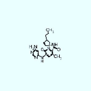 CCCC1C=CC2(C1)NC(=O)c1c(C)cc(Nc3cc(N)ncn3)c(=O)n12